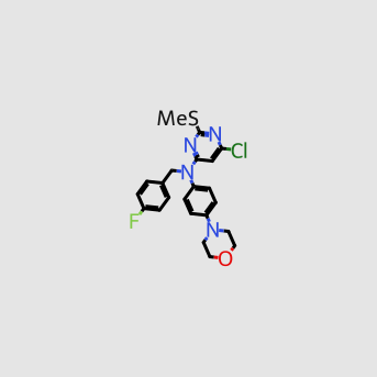 CSc1nc(Cl)cc(N(Cc2ccc(F)cc2)c2ccc(N3CCOCC3)cc2)n1